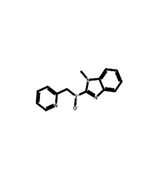 Cn1c([S+]([O-])Cc2ccccn2)nc2ccccc21